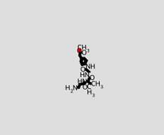 COC(=O)Cc1ccc(NC(=O)CNC(=O)C(NC(=O)CCN)C(C)C)cc1